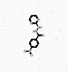 O=C(NNc1ncccn1)c1ccc([N+](=O)[O-])cc1